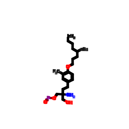 CCCCC(CC[CH2][InH2])CCCOc1ccc(CCC(N)(CO)COP=O)cc1C(F)(F)F